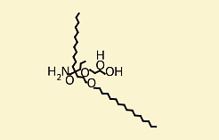 CCCCCCCCCCCCCCCCOCCCC(CCCCCCCCCCCC)(C(N)=O)C(CC)OCCC(O)CO